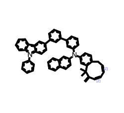 C=C1/C=C\C=C/Cc2ccc(N(c3cccc(-c4cccc(-c5ccc6c(c5)c5ccccc5n6-c5ccccc5)c4)c3)c3ccc4ccccc4c3)cc2C1(C)C